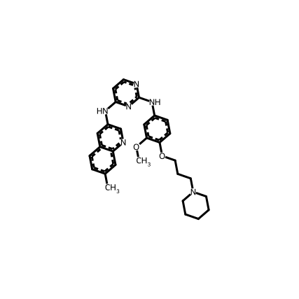 COc1cc(Nc2nccc(Nc3cnc4cc(C)ccc4c3)n2)ccc1OCCCN1CCCCC1